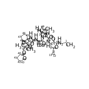 C=CCNC(=O)C(=O)C(CCC1CC1)NC(=O)[C@@H]1[C@@H]2[C@H](CN1C(=O)[C@@H](NC(=O)NC1(CS(=O)(=O)C(C)(C)COC3CCCCO3)CCCCC1)C(C)(C)C)C2(C)C